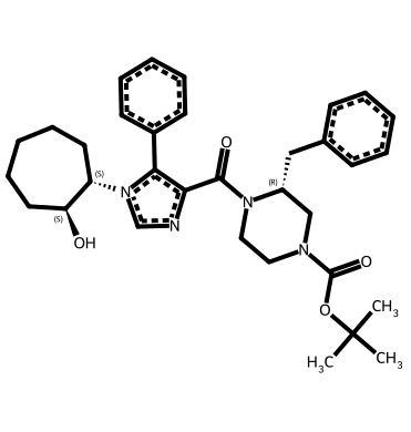 CC(C)(C)OC(=O)N1CCN(C(=O)c2ncn([C@H]3CCCCC[C@@H]3O)c2-c2ccccc2)[C@H](Cc2ccccc2)C1